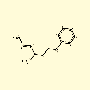 CCCCCCCCN=NC(CCOc1ccccc1)C(=O)O